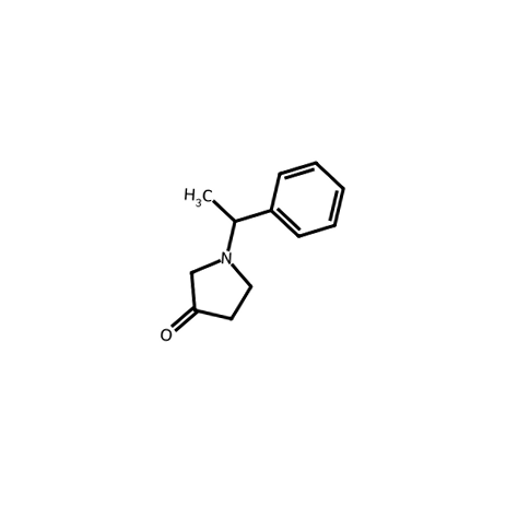 CC(c1ccccc1)N1CCC(=O)C1